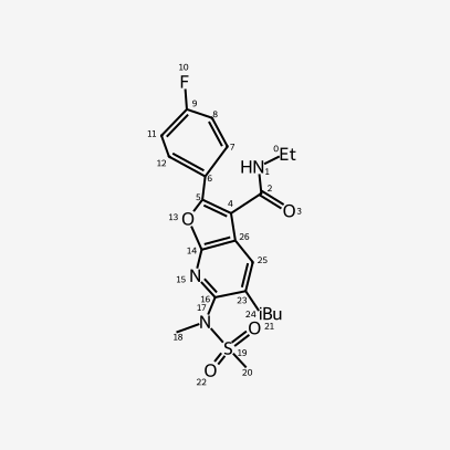 CCNC(=O)c1c(-c2ccc(F)cc2)oc2nc(N(C)S(C)(=O)=O)c(C(C)CC)cc12